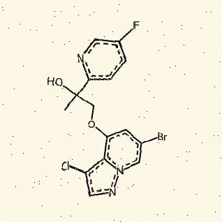 CC(O)(COc1cc(Br)cn2ncc(Cl)c12)c1ccc(F)cn1